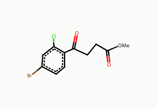 COC(=O)CCC(=O)c1ccc(Br)cc1Cl